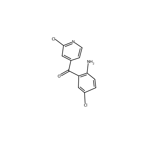 Nc1ccc(Cl)cc1C(=O)c1ccnc(Cl)c1